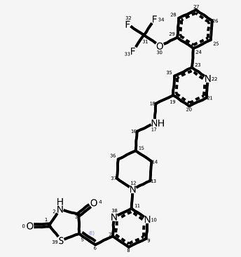 O=C1NC(=O)/C(=C\c2ccnc(N3CCC(CNCc4ccnc(-c5ccccc5OC(F)(F)F)c4)CC3)n2)S1